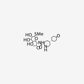 CSC1O[C@H]([C@H](NC(=O)[C@@H]2CC[C@H](C3CCC(=O)CC3)CCN2)[C@H](C)Cl)C(O)C(O)[C@H]1O